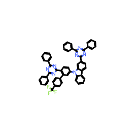 FC(F)(F)c1ccc(-c2cc(-n3c4ccccc4c4ccc(-c5nc(-c6ccccc6)nc(-c6ccccc6)n5)cc43)ccc2-c2nc(-c3ccccc3)nc(-c3ccccc3)n2)cc1